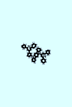 c1ccc(-c2cc(-c3cccc(-n4c5ccccc5c5cc6c(cc54)c4ccccc4n6-c4cc(-c5ccccc5)nc(-c5ccccc5)c4)c3)cc(-c3ccccc3)n2)cc1